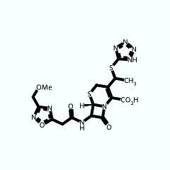 COCc1noc(CC(=O)NC2C(=O)N3C(C(=O)O)=C(C(C)Sc4nnn[nH]4)CS[C@@H]23)n1